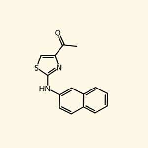 CC(=O)c1csc(Nc2ccc3ccccc3c2)n1